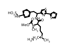 COC(=O)N(C)C(CCCN(C)C)C(=O)NC(Cc1ccc(NS(=O)(=O)O)cc1)c1csc(-c2cccs2)n1.N